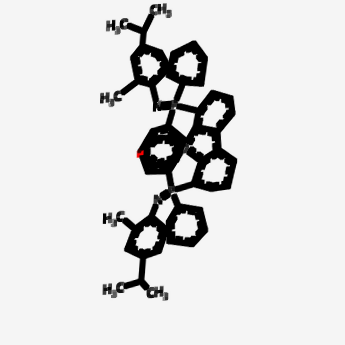 Cc1cc(C(C)C)ccc1N=P(c1ccccc1)(c1ccccc1)c1cccc2c1oc1c(P(=Nc3ccc(C(C)C)cc3C)(c3ccccc3)c3ccccc3)cccc12